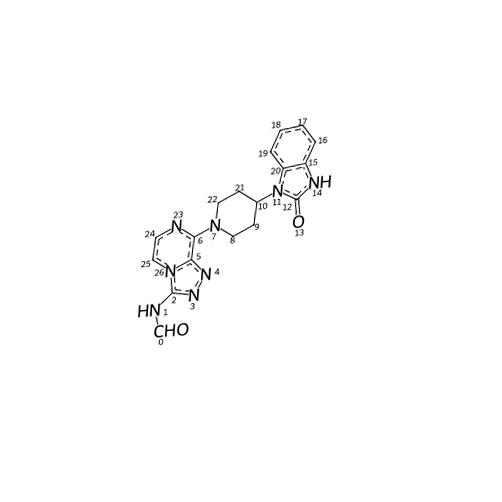 O=CNc1nnc2c(N3CCC(n4c(=O)[nH]c5ccccc54)CC3)nccn12